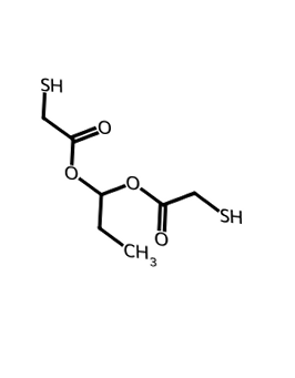 CCC(OC(=O)CS)OC(=O)CS